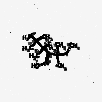 CCC(C)(C)C(=NO)C(C)(C)C(C)(C)[SiH3]